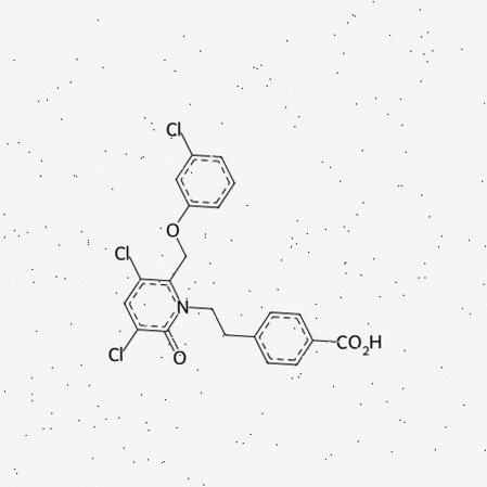 O=C(O)c1ccc(CCn2c(COc3cccc(Cl)c3)c(Cl)cc(Cl)c2=O)cc1